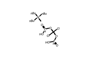 CCCC[N+](C)(CCCC)CCCC.O=[PH](O)OC(Cl)(Cl)O[PH](=O)O